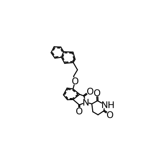 O=C1CCC(N2C(=O)c3cccc(OCCc4ccc5ccccc5c4)c3C2=O)C(=O)N1